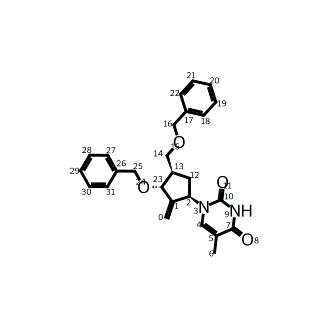 C=C1[C@H](n2cc(C)c(=O)[nH]c2=O)C[C@H](COCc2ccccc2)[C@H]1OCc1ccccc1